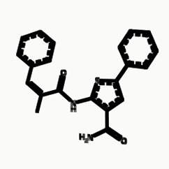 CC(=Cc1ccccc1)C(=O)Nc1sc(-c2ccccc2)cc1C(N)=O